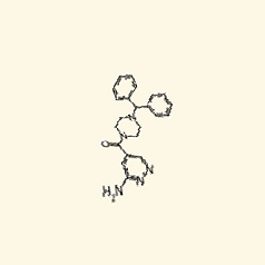 Nc1cc(C(=O)N2CCN(C(c3ccccc3)c3ccccc3)CC2)cnn1